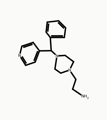 NCCN1CCN(C(c2ccccc2)c2ccncc2)CC1